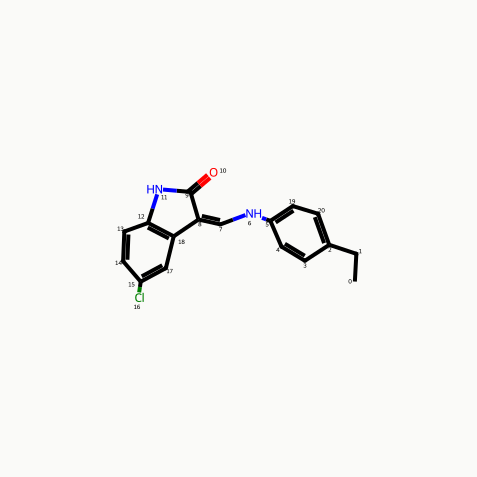 CCc1ccc(NC=C2C(=O)Nc3ccc(Cl)cc32)cc1